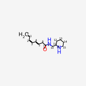 C=C/C=C\C=C\CC(=O)NCC1CCCCN1